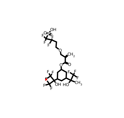 C=C(COCCC(F)(F)C(F)(F)S(=O)(=O)O)C(=O)OC1CC(C(C)(O)C(F)(F)F)CC(C(O)(C(F)(F)F)C(F)(F)F)C1